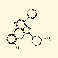 N[C@@H]1CCCN(c2nn3c(-c4ccccc4)c[nH]c(=O)c3c2Cc2ccccc2Cl)C1